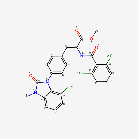 COC(=O)[C@H](Cc1ccc(-n2c(=O)n(C)c3cccc(F)c32)cc1)NC(=O)c1c(F)cccc1Cl